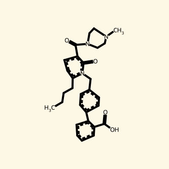 CCCCc1ccc(C(=O)N2CCN(C)CC2)c(=O)n1Cc1ccc(-c2ccccc2C(=O)O)cc1